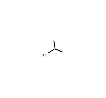 [Ag].[CH2]N(C)C